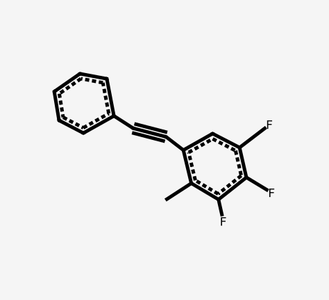 Cc1c(C#Cc2ccccc2)cc(F)c(F)c1F